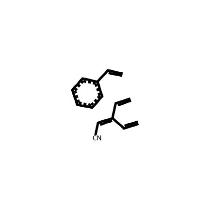 C=CC(C=C)=CC#N.C=Cc1ccccc1